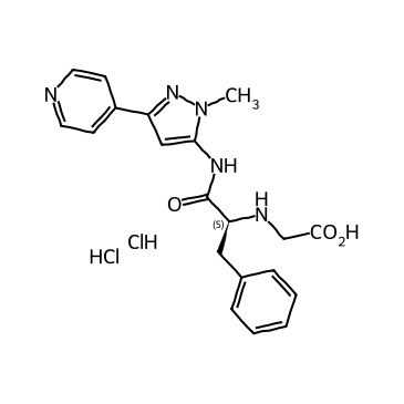 Cl.Cl.Cn1nc(-c2ccncc2)cc1NC(=O)[C@H](Cc1ccccc1)NCC(=O)O